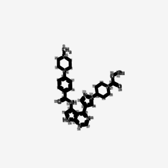 CN1CCN(c2ccc(C(=O)Nc3c[nH]c4ncnc(-c5cnn(C6CCN(C(=O)OC(C)(C)C)CC6)c5)c34)cc2)CC1